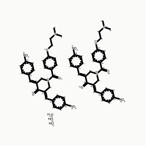 CN(C)CCOc1ccc(C(=O)N2CC(=Cc3ccc([N+](=O)[O-])cc3)C(=O)C(=Cc3ccc([N+](=O)[O-])cc3)C2)cc1.CN(C)CCOc1ccc(C(=O)N2CC(=Cc3ccc([N+](=O)[O-])cc3)C(=O)C(=Cc3ccc([N+](=O)[O-])cc3)C2)cc1.Cl.Cl.O